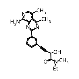 CCN(C)C(=O)[C@H](O)C#Cc1cccc(-c2nc(C)c3c(C)cnc(N)c3n2)c1